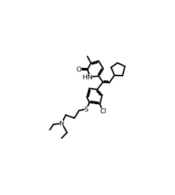 CCN(CC)CCCSc1ccc(C(=CC2CCCC2)c2ccc(C)c(=O)[nH]2)cc1Cl